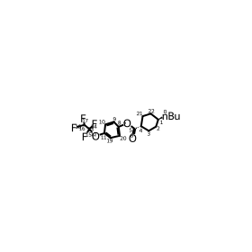 CCCC[C@H]1CC[C@H](C(=O)Oc2ccc(OC(F)(F)C(F)F)cc2)CC1